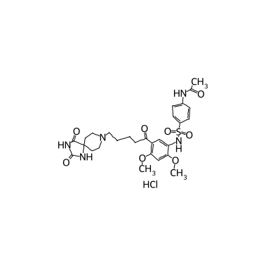 COc1cc(OC)c(C(=O)CCCCN2CCC3(CC2)NC(=O)NC3=O)cc1NS(=O)(=O)c1ccc(NC(C)=O)cc1.Cl